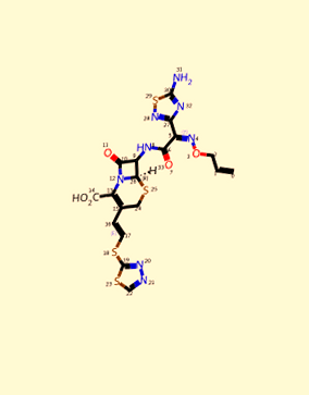 C=CCO/N=C(\C(=O)NC1C(=O)N2C(C(=O)O)=C(/C=C/Sc3nncs3)CS[C@H]12)c1nsc(N)n1